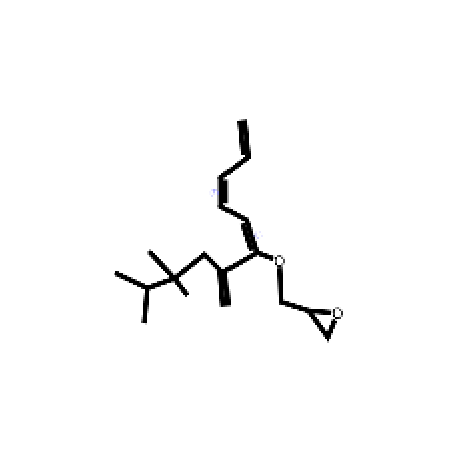 C=C/C=C\C=C(\OCC1CO1)C(=C)CC(C)(C)C(C)C